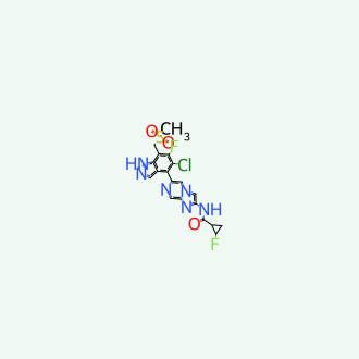 CS(=O)(=O)Cc1c(F)c(Cl)c(-c2cn3cc(NC(=O)C4CC4F)nc3cn2)c2cn[nH]c12